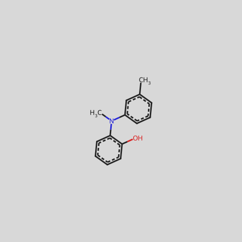 Cc1cccc(N(C)c2ccccc2O)c1